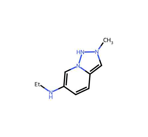 CCNC1=CN2NN(C)C=C2C=C1